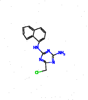 Nc1nc(CCl)nc(Nc2cccc3ccccc23)n1